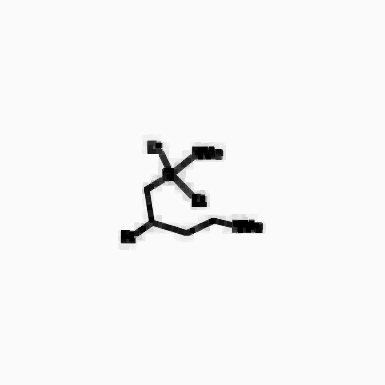 CCC(CCNC)C[Si](CC)(CC)NC